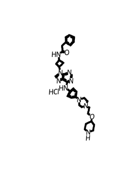 Cl.O=C(Cc1ccccc1)NC1CC(n2cnc3c(Nc4ccc(N5CCN(CCOC6CCNCC6)CC5)cc4)ncnc32)C1